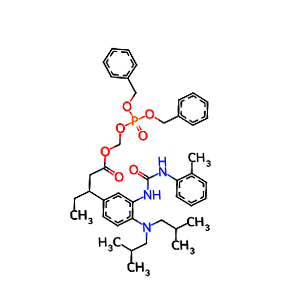 CCC(CC(=O)OCOP(=O)(OCc1ccccc1)OCc1ccccc1)c1ccc(N(CC(C)C)CC(C)C)c(NC(=O)Nc2ccccc2C)c1